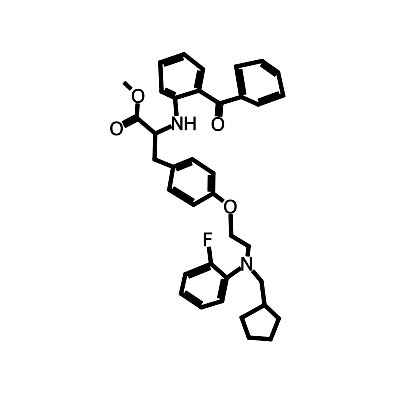 COC(=O)C(Cc1ccc(OCCN(CC2CCCC2)c2ccccc2F)cc1)Nc1ccccc1C(=O)c1ccccc1